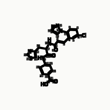 O=C(C=Cc1cc(Cl)ccc1-n1cnnn1)NC(Cc1cscn1)C(=O)Nc1ccc(C(=O)O)cc1